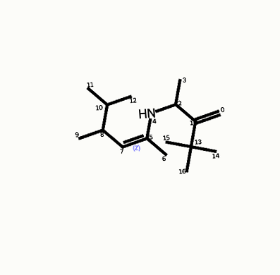 C=C(C(C)N/C(C)=C\C(C)C(C)C)C(C)(C)C